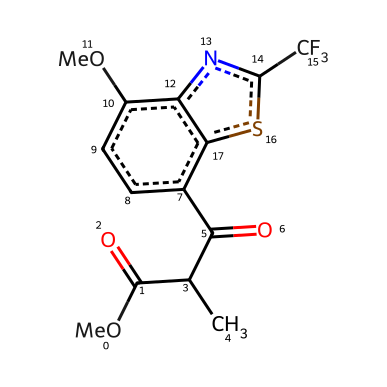 COC(=O)C(C)C(=O)c1ccc(OC)c2nc(C(F)(F)F)sc12